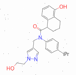 CC(C)c1ccc(N(Cc2cnn(CCO)c2)C(=O)C2CCCc3c(O)cccc32)cc1